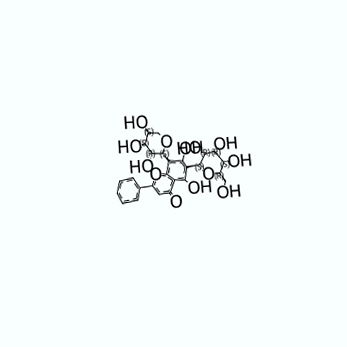 O=c1cc(-c2ccccc2)oc2c([C@@H]3OC[C@H](O)[C@H](O)[C@H]3O)c(O)c([C@@H]3O[C@H](CO)[C@@H](O)[C@H](O)[C@H]3O)c(O)c12